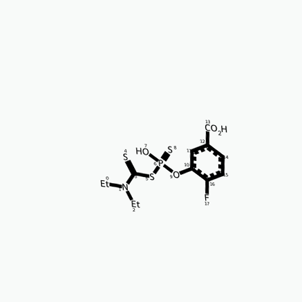 CCN(CC)C(=S)SP(O)(=S)Oc1cc(C(=O)O)ccc1F